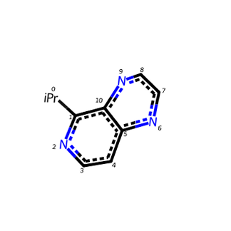 CC(C)c1nccc2nccnc12